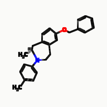 Cc1ccc(N2CCc3cc(OCc4ccccc4)ccc3C[C@H]2C)cc1